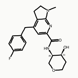 CN1CCc2c(Cc3ccc(F)cc3)cc(C(=O)N[C@@H]3COCC[C@@H]3O)nc21